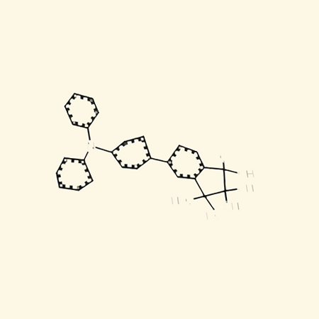 CC1(C)c2ccc(-c3ccc(N(c4ccccc4)c4ccccc4)cc3)cc2C(C)(C)C1(C)C